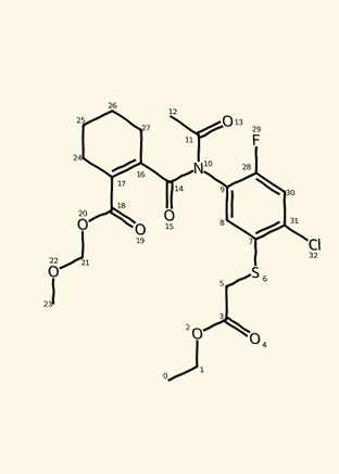 CCOC(=O)CSc1cc(N(C(C)=O)C(=O)C2=C(C(=O)OCOC)CCCC2)c(F)cc1Cl